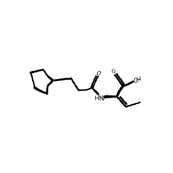 C/C=C(/NC(=O)CCC1CCCC1)C(=O)O